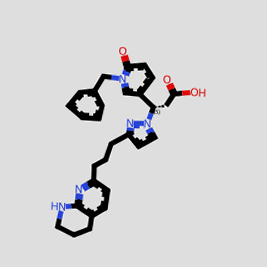 O=C(O)C[C@@H](c1ccc(=O)n(Cc2ccccc2)c1)n1ccc(CCCc2ccc3c(n2)NCCC3)n1